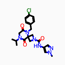 CC(C)N1CC(=O)N(Cc2ccc(Cl)cc2)C2(CN(C(=O)Nc3cnn(C)c3)C2)C1=O